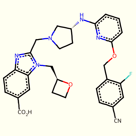 N#Cc1ccc(COc2cccc(N[C@@H]3CCN(Cc4nc5ccc(C(=O)O)cc5n4C[C@@H]4CCO4)C3)n2)c(F)c1